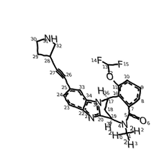 [2H]C([2H])([2H])N1C(=O)c2cccc(OC(F)F)c2[C@H]2C[C@@H]1c1nc3ccc(C#CC4CCNC4)cc3n12